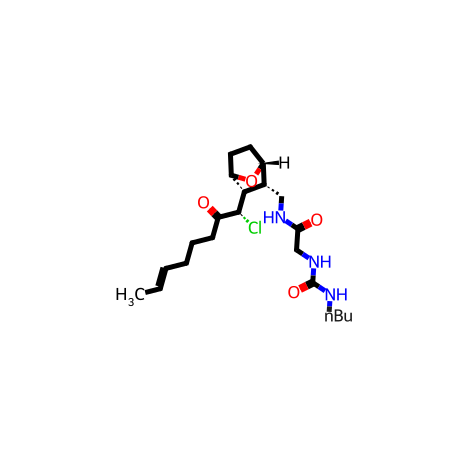 CC=CCCCC(=O)[C@@H](Cl)[C@@H]1C2CC[C@@H](O2)[C@@H]1CNC(=O)CNC(=O)NCCCC